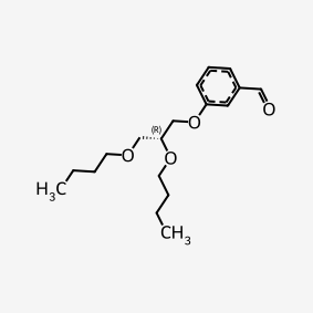 CCCCOC[C@H](COc1cccc(C=O)c1)OCCCC